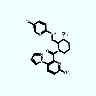 Cc1ccc(-n2cccn2)c(C(=O)N2CCC[C@@H](C)C2CNc2ccc(Cl)cn2)n1